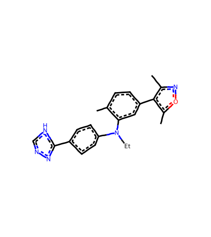 CCN(c1ccc(-c2nnc[nH]2)cc1)c1cc(-c2c(C)noc2C)ccc1C